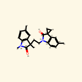 Cc1ccc2c(c1)C(C)(CCN1C(=O)C3(CC3)c3cc(C)ccc31)C(=O)N2C